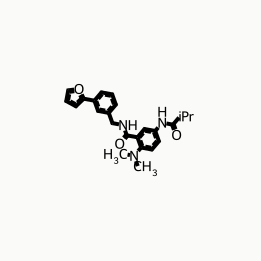 CC(C)C(=O)Nc1ccc(N(C)C)c(C(=O)NCc2cccc(-c3ccco3)c2)c1